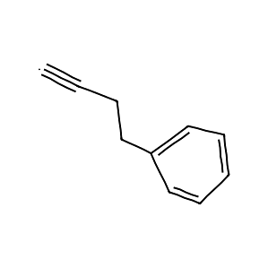 [C]#CCCc1ccccc1